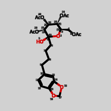 CC(=O)OC[C@H]1O[C@](O)(CCCCc2ccc3c(c2)OCO3)[C@H](OC(C)=O)[C@@H](OC(C)=O)[C@@H]1OC(C)=O